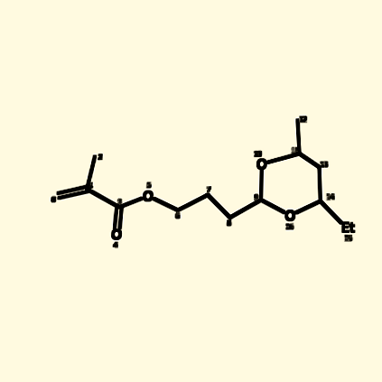 C=C(C)C(=O)OCCCC1OC(C)CC(CC)O1